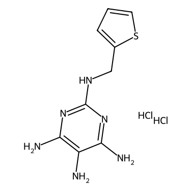 Cl.Cl.Nc1nc(NCc2cccs2)nc(N)c1N